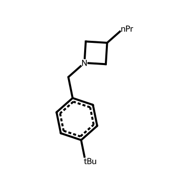 CCCC1CN(Cc2ccc(C(C)(C)C)cc2)C1